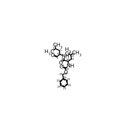 CC(C)CC(C=O)NC(=O)C(CC(C)C)NC(=O)OCc1ccccc1